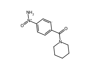 N[N+](=O)c1c[c]c(C(=O)N2CCCCC2)cc1